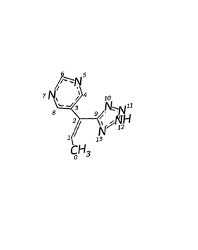 C/C=C(/c1cncnc1)c1nn[nH]n1